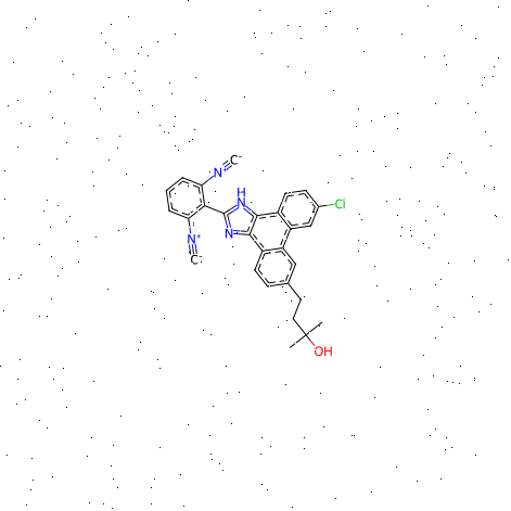 [C-]#[N+]c1cccc([N+]#[C-])c1-c1nc2c3ccc(CCC(C)(C)O)cc3c3cc(Cl)ccc3c2[nH]1